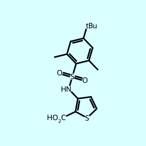 Cc1cc(C(C)(C)C)cc(C)c1S(=O)(=O)Nc1ccsc1C(=O)O